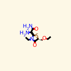 CCOC[C@H]1S/C(=C(/N)C(N)=O)N(CC)C1=O